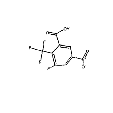 O=C(O)c1cc([N+](=O)[O-])cc(F)c1C(F)(F)F